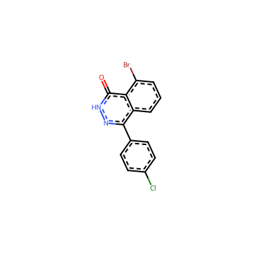 O=c1[nH]nc(-c2ccc(Cl)cc2)c2cccc(Br)c12